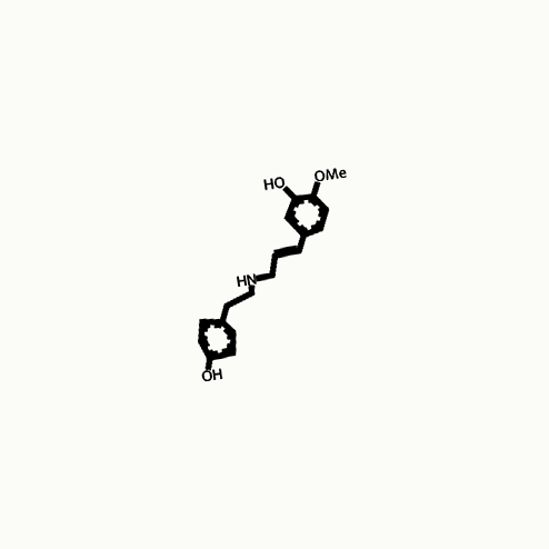 COc1ccc(C=CCNCCc2ccc(O)cc2)cc1O